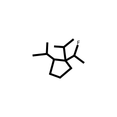 CC(C)C1CCCC1(C(C)C)C(C)F